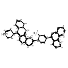 CC1C=C(c2cc3cccnc3c3ncccc23)C=CC1c1ccc2ccc3c(c2n1)=NC1CC=CC=C1C=3C1C=CNCC1